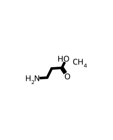 C.NCCC(=O)O